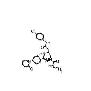 CNC(=O)NCC(CC(=O)Nc1ccc(Cl)cc1)NC(=O)c1ccc(-n2ccccc2=O)cc1